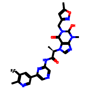 Cc1cc(CN2C(=O)c3c(ncn3[C@@H](C)C(=O)Nc3cncc(-c4cnc(C)c(C(F)(F)F)c4)n3)N(C)C2O)no1